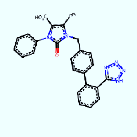 CCCc1c(C(=O)O)n(-c2ccccc2)c(=O)n1Cc1ccc(-c2ccccc2-c2nnn[nH]2)cc1